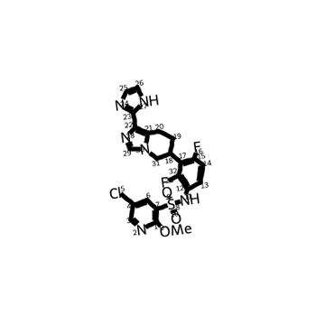 COc1ncc(Cl)cc1S(=O)(=O)Nc1ccc(F)c(C2CCc3c(-c4ncc[nH]4)ncn3C2)c1F